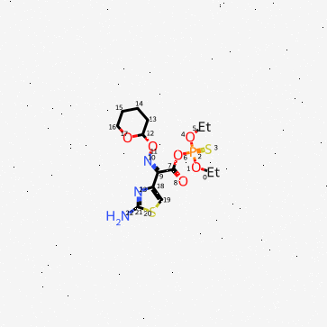 CCOP(=S)(OCC)OC(=O)/C(=N\OC1CCCCO1)c1csc(N)n1